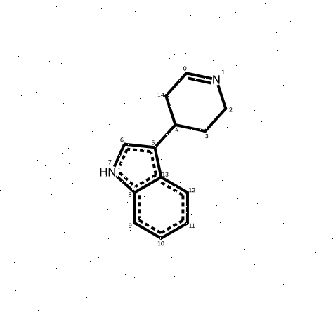 C1=NCCC(c2c[nH]c3ccccc23)C1